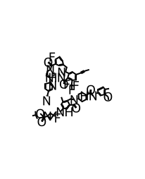 CC#Cc1cc(C(F)(F)F)c2c(=O)[nH]nc(Cc3ccc(F)c(C(=O)N4CCN(c5ccc(C#N)cn5)CC4)c3)c2c1.COc1cc(NC(=O)C2CCC(N3Cc4c(C)cc(NCC5(F)CN(C(=O)OC(C)(C)C)C5)cc4C3=O)CC2)ccc1C